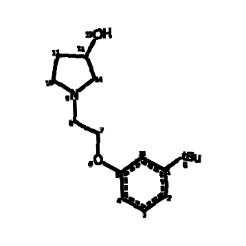 CC(C)(C)c1cccc(OCCN2CCC(O)C2)c1